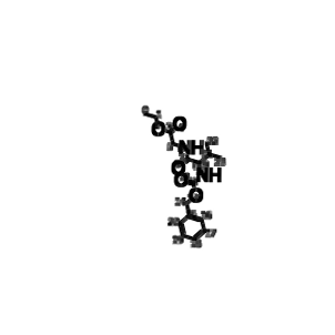 CCOC(=O)CNC(=O)[C@@H](NC(=O)OCc1ccccc1)C(C)C